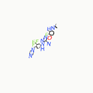 C=C(C)Nc1ccc(Oc2ncnc(N[C@H]3C=C(C(F)(F)F)C(CN4CCN(C)CC4)=CC3)c2C#N)c(F)c1C